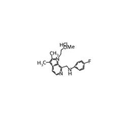 COCCn1c(C)c(C)c2ccnc(CNc3ccc(F)cc3)c21.Cl